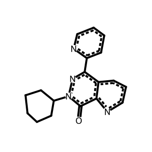 O=c1c2ncccc2c(-c2ccccn2)nn1C1CCCCC1